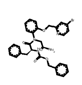 NC(=O)CN(C(=O)[C@H](Cc1ccccc1)NC(=O)OCc1ccccc1)c1ccccc1OCc1cc(Br)ccn1